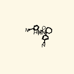 N#Cc1ccc(C2(NC(=O)Nc3cccc(C#N)c3)CCCCCC2)cc1